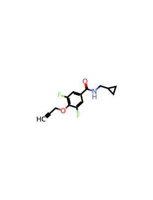 C#CCOc1c(F)cc(C(=O)NCC2CC2)cc1F